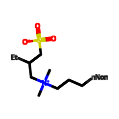 CCCCCCCCCCCC[N+](C)(C)CC(CC)CS(=O)(=O)[O-]